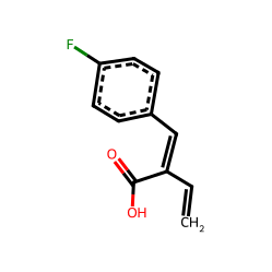 C=CC(=Cc1ccc(F)cc1)C(=O)O